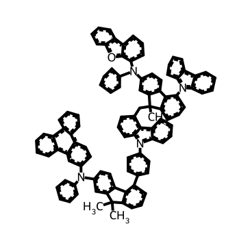 CC1(C)c2cc(N(c3ccccc3)c3ccc4c5ccccc5c5ccccc5c4c3)ccc2-c2c(-c3ccc(-n4c5ccccc5c5c(CC6(C)c7cc(N(c8ccccc8)c8cccc9c8oc8ccccc89)ccc7-c7c(-n8c9ccccc9c9ccccc98)cccc76)cccc54)cc3)cccc21